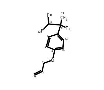 C=CCOc1ccc(C(F)(C(F)F)C(F)(F)F)cc1